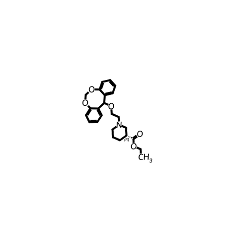 CCOC(=O)[C@@H]1CCCN(CCOC2c3ccccc3OCOc3ccccc32)C1